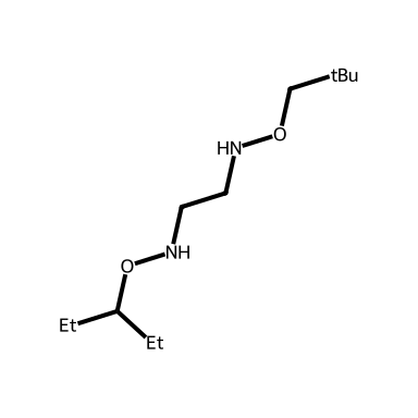 CCC(CC)ONCCNOCC(C)(C)C